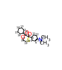 CN(C)C1=CCC(C23OOC2(C2CCCCC2)OCCS3)CC1